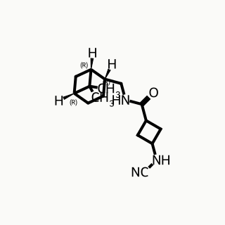 CC1(C)[C@@H]2CC[C@@H](CNC(=O)C3CC(NC#N)C3)[C@H]1C2